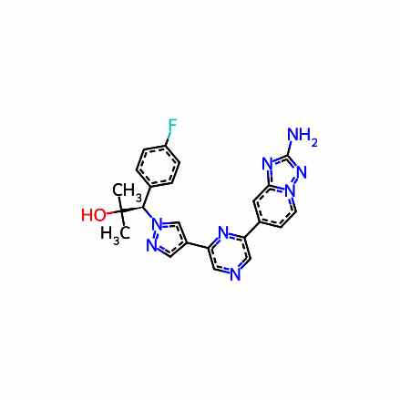 CC(C)(O)[C@@H](c1ccc(F)cc1)n1cc(-c2cncc(-c3ccn4nc(N)nc4c3)n2)cn1